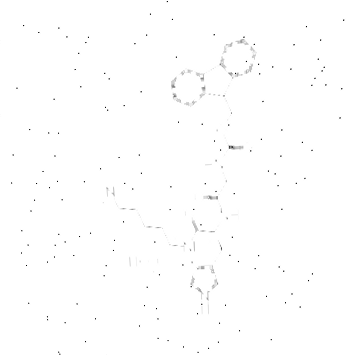 NCCCC[C@H](NC(=O)[C@H](Cc1c[nH]cn1)NC(=O)CNC(=O)OCC1c2ccccc2-c2ccccc21)C(=O)O